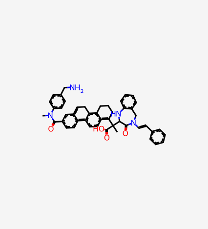 CN(C(=O)c1ccc2c(c1)=CCc1c3c(ccc1=2)=C(C(C)(C(=O)O)C1Nc2ccccc2CN(C=Cc2ccccc2)C1=O)CCC3)c1ccc(CN)cc1